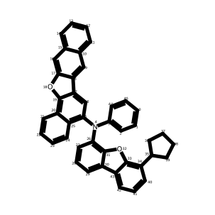 c1ccc(N(c2cc3c4cc5ccccc5cc4oc3c3ccccc23)c2cccc3c2oc2c(C4CCCC4)cccc23)cc1